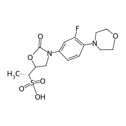 C[C@H](C1CN(c2ccc(N3CCOCC3)c(F)c2)C(=O)O1)S(=O)(=O)O